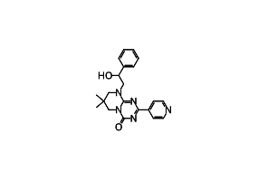 CC1(C)CN(CC(O)c2ccccc2)c2nc(-c3ccncc3)nc(=O)n2C1